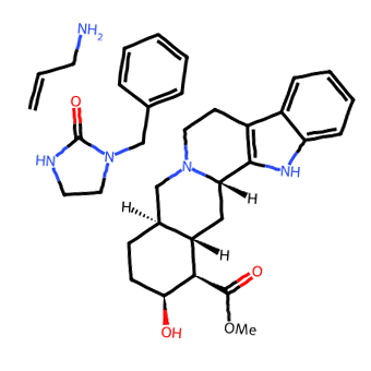 C=CCN.COC(=O)[C@@H]1[C@H]2C[C@H]3c4[nH]c5ccccc5c4CCN3C[C@@H]2CC[C@@H]1O.O=C1NCCN1Cc1ccccc1